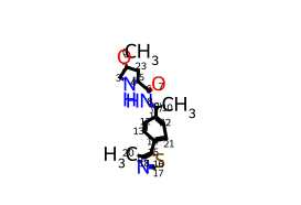 COC1CNC(C(=O)N[C@@H](C)c2ccc(-c3scnc3C)cc2)C1